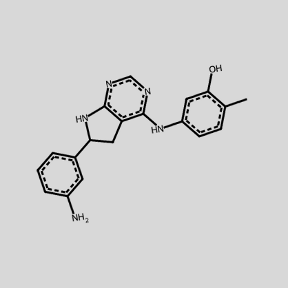 Cc1ccc(Nc2ncnc3c2CC(c2cccc(N)c2)N3)cc1O